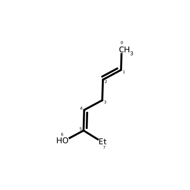 C/C=C/C/C=C(/O)CC